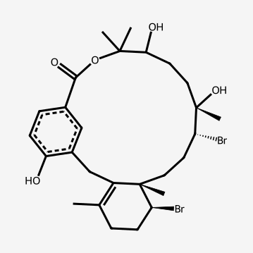 CC1=C2Cc3cc(ccc3O)C(=O)OC(C)(C)C(O)CC[C@](C)(O)[C@H](Br)CC[C@]2(C)[C@@H](Br)CC1